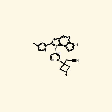 Cc1ccc(-c2nc3cnc4[nH]ccc4c3n2/C(C=N)=C/NC2(CC#N)CNC2)s1